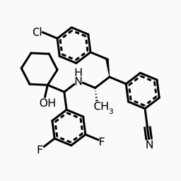 C[C@H](NC(c1cc(F)cc(F)c1)C1(O)CCCCC1)[C@@H](Cc1ccc(Cl)cc1)c1cccc(C#N)c1